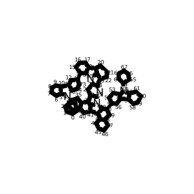 c1ccc(-n2c3ccccc3c3cc(-c4cccc5c6cccc7c8nc9c(cc8n(c45)c67)c4c5ccccc5cc5c6c7ccccc7cc(-c7ccc8c(c7)c7ccccc7n8-c7ccccc7)c6n9c54)ccc32)cc1